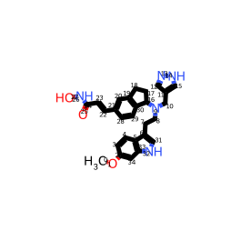 COc1ccc2c(CCN(Cc3cn[nH]c3)C3CCc4cc(/C=C/C(=O)NO)ccc43)c[nH]c2c1